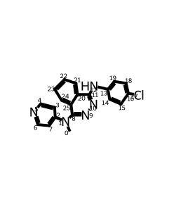 CN(c1ccncc1)c1nnc(Nc2ccc(Cl)cc2)c2ccccc12